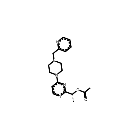 CC(=O)O[C@H](C)c1nccc(N2CCN(Cc3ccccn3)CC2)n1